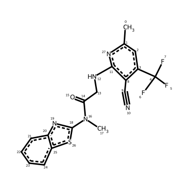 Cc1cc(C(F)(F)F)c(C#N)c(NCC(=O)N(C)c2nc3ccccc3s2)n1